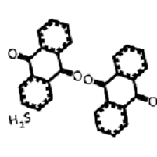 O=C1c2ccccc2C(=O)c2ccccc21.O=C1c2ccccc2C(=O)c2ccccc21.S